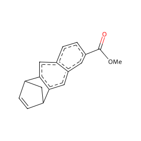 COC(=O)c1ccc2cc3c(cc2c1)C1C=CC3C1